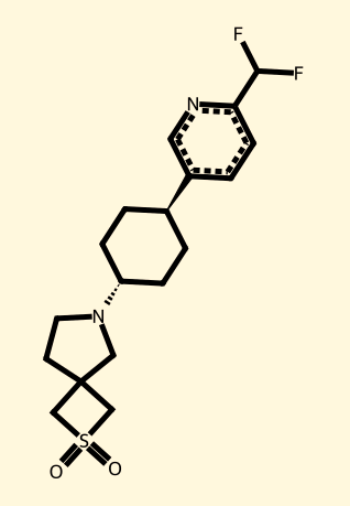 O=S1(=O)CC2(CCN([C@H]3CC[C@H](c4ccc(C(F)F)nc4)CC3)C2)C1